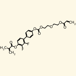 C=CC(=O)OCCOCCOC(=O)Oc1ccc(-c2ccc(OC(=O)C(=C)C)c(F)c2F)cc1